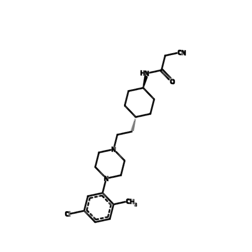 Cc1ccc(Cl)cc1N1CCN(CC[C@H]2CC[C@H](NC(=O)CC#N)CC2)CC1